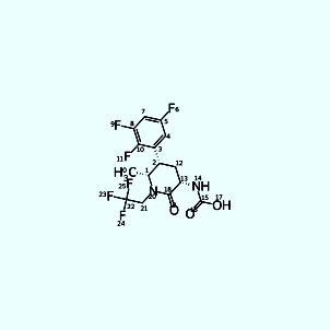 C[C@@H]1[C@H](c2cc(F)cc(F)c2F)C[C@H](NC(=O)O)C(=O)N1CC(F)(F)F